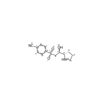 N#Cc1ccc(S(=O)(=O)C[C@@H](O)[C@@H]2CCCN2)cc1